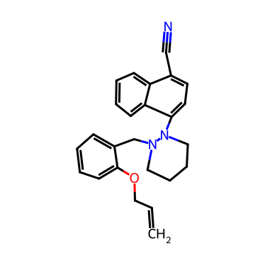 C=CCOc1ccccc1CN1CCCCN1c1ccc(C#N)c2ccccc12